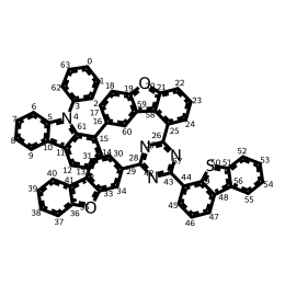 c1ccc(-n2c3ccccc3c3cccc(-c4ccc5oc6cccc(-c7nc(-c8ccc9c(c8)oc8ccccc89)nc(-c8cccc9c8sc8ccccc89)n7)c6c5c4)c32)cc1